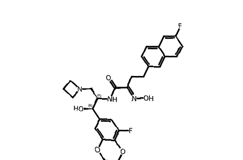 O=C(N[C@H](CN1CCC1)[C@H](O)c1cc(F)c2c(c1)OCCO2)C(CCc1ccc2cc(F)ccc2c1)=NO